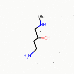 CC(C)(C)NCC(O)CCN